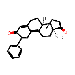 C[C@]12CCC3=C4CC(c5ccccc5)C(=O)C=C4CC[C@H]3[C@@H]1CCC2=O